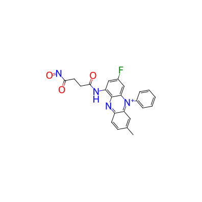 Cc1ccc2nc3c(NC(=O)CCC(=O)N=O)cc(F)cc3[n+](-c3ccccc3)c2c1